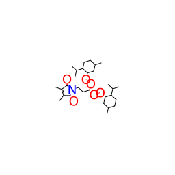 CC1=C(C)C(=O)N(CCC(OOC2CC(C)CCC2C(C)C)OOC2CC(C)CCC2C(C)C)C1=O